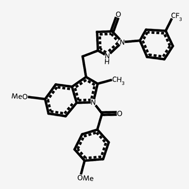 COc1ccc(C(=O)n2c(C)c(Cc3cc(=O)n(-c4cccc(C(F)(F)F)c4)[nH]3)c3cc(OC)ccc32)cc1